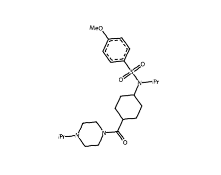 COc1ccc(S(=O)(=O)N(C(C)C)C2CCC(C(=O)N3CCN(C(C)C)CC3)CC2)cc1